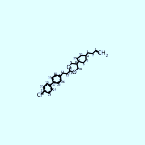 C=CCCC1CCC(C2COC(CCc3ccc(-c4ccc(Cl)cc4)cc3)OC2)CC1